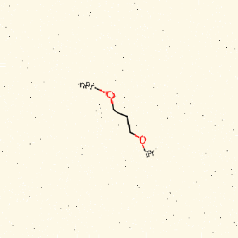 CC[CH]OCCCOC(C)C